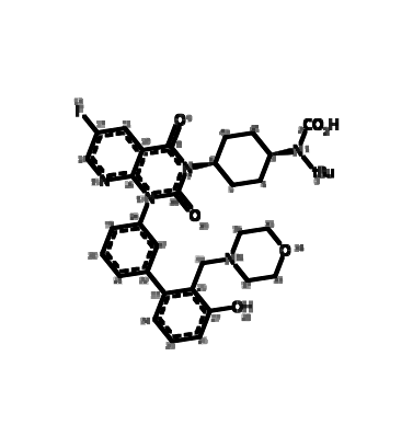 CC(C)(C)N(C(=O)O)[C@H]1CC[C@@H](n2c(=O)c3cc(F)cnc3n(-c3cccc(-c4cccc(O)c4CN4CCOCC4)c3)c2=O)CC1